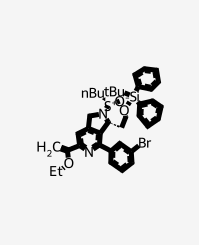 C=C(OCC)c1cc2c(c(-c3cccc(Br)c3)n1)[C@@H](CCO[Si](c1ccccc1)(c1ccccc1)C(C)(C)C)N([S@+]([O-])CCCC)C2